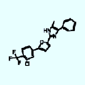 Cc1[nH]c(-c2ccc(-c3ccc(C(F)(F)F)c(Cl)c3)o2)nc1-c1ccccc1